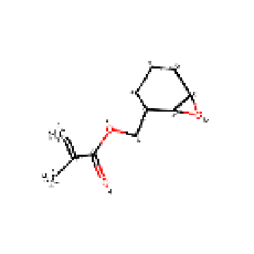 C=C(C)C(=O)OCC1CCCC2OC12